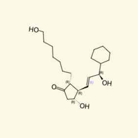 O=C1C[C@@H](O)[C@H](/C=C/[C@H](O)C2CCCCC2)[C@H]1CCCCCCCO